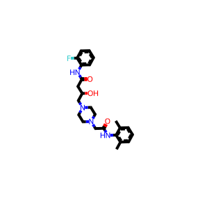 Cc1cccc(C)c1NC(=O)CN1CCN(CC(O)CC(=O)Nc2ccccc2F)CC1